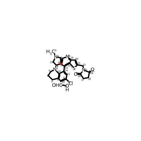 CN1CC[C@@H](N2CCCc3cc(Cl)cc(-c4ccnc5cc(CN6C(=O)CCC6=O)sc45)c32)C1.O=CO